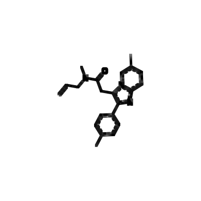 C=CCN(C)C(=O)Cc1c(-c2ccc(C)cc2)nc2ccc(C)cn12